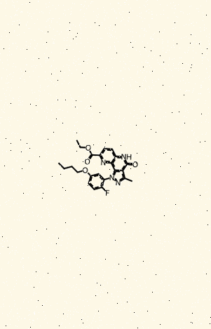 CCCCOc1ccc(F)c(-n2nc(C)c3c(=O)[nH]c4ccc(C(=O)OCC)nc4c32)c1